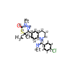 CCN=C(c1ccc(Cl)cc1)N1CCCc2cc(C3=NN(CC)C(=O)SC3(C)C)ccc21